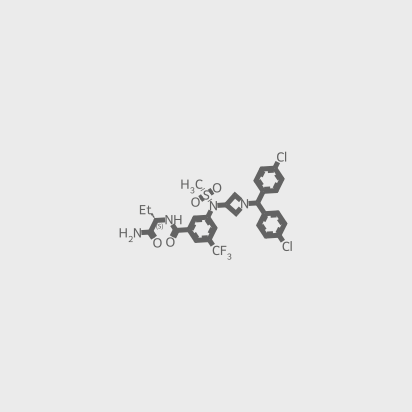 CC[C@H](NC(=O)c1cc(N(C2CN(C(c3ccc(Cl)cc3)c3ccc(Cl)cc3)C2)S(C)(=O)=O)cc(C(F)(F)F)c1)C(N)=O